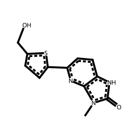 Cn1c(=O)[nH]c2ccc(-c3ccc(CO)s3)nc21